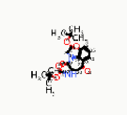 CC(C)(C)OC(=O)CN1C(=O)[C@@H](NC(=O)OC(C)(C)C)CC(=O)c2ccccc21